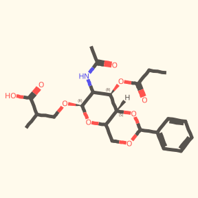 CCC(=O)O[C@@H]1C(NC(C)=O)[C@H](OCC(C)C(=O)O)OC2COC(c3ccccc3)O[C@H]21